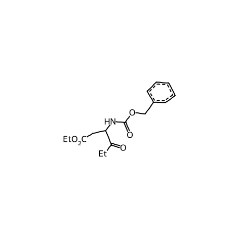 CCOC(=O)CC(NC(=O)OCc1ccccc1)C(=O)CC